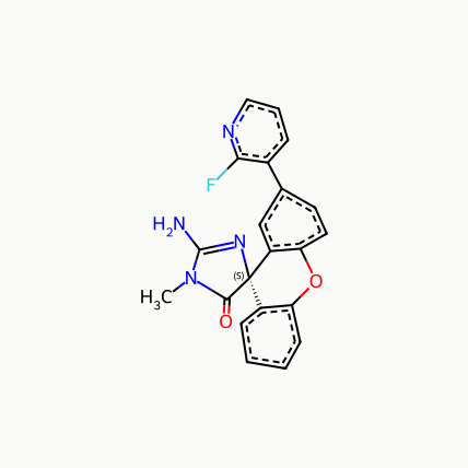 CN1C(=O)[C@]2(N=C1N)c1ccccc1Oc1ccc(-c3cccnc3F)cc12